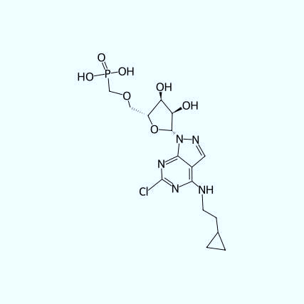 O=P(O)(O)COC[C@H]1O[C@@H](n2ncc3c(NCCC4CC4)nc(Cl)nc32)[C@H](O)[C@@H]1O